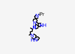 CC(C)N1CCC2(CCNC(C3CNCC34CCN(C(C)CCC(C)N3CCC5(CCCN5)CC3)CC4)C2)C1